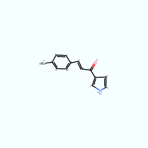 CCCCc1ccc(C=CC(=O)c2cc[nH]c2)cc1